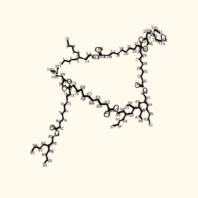 CCCCCC(CCCCC)CCOC(=O)CCCCCCCCC1(CCCCCCCCC(=O)OCCC(CCCCC)CC(CCC)C(CC)CC(CCCC)CCOC(=O)CCCCCCCCCC2(CCCCCCCCCC(=O)OCCC(CCCC)CCCC)OCC(CCN(C)C)O2)OCC(CN2CCOCC2)O1